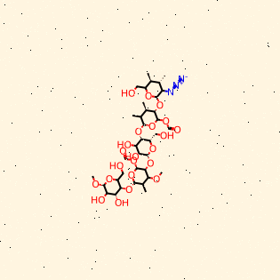 COC1C(C)[C@H](O[C@@H]2C(CO)O[C@H](OC)C(O)[C@H]2O)O[C@@H](OC=O)[C@H]1O[C@H]1O[C@@H](CO)[C@@H](O[C@@H]2OC(OC=O)[C@@H](O[C@H]3OC(CO)[C@@H](C)[C@H](C)C3N=[N+]=[N-])[C@H](C)C2C)C(O)C1O